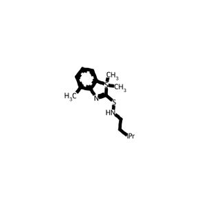 Cc1cccc2c1N=C(SNCCC(C)C)S2(C)C